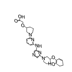 O=C(O)COC1CCCN(c2cccc(Nc3cncc(N4CCCC(OC5=C(O)CCC=C5)C4)n3)n2)C1